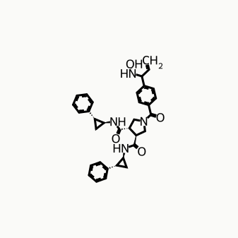 C=CC(NO)c1ccc(C(=O)N2C[C@@H](C(=O)N[C@H]3C[C@@H]3c3ccccc3)[C@H](C(=O)N[C@H]3C[C@@H]3c3ccccc3)C2)cc1